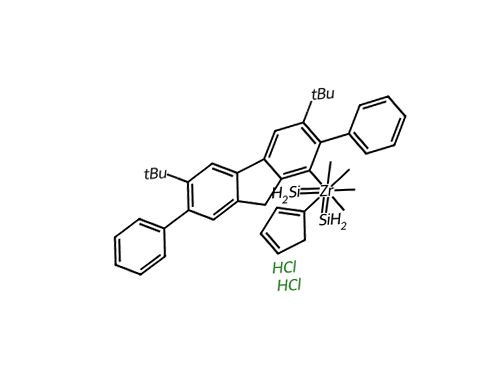 CC(C)(C)c1cc2c(cc1-c1ccccc1)Cc1c-2cc(C(C)(C)C)c(-c2ccccc2)[c]1[Zr]([CH3])([CH3])([CH3])([CH3])(=[SiH2])(=[SiH2])[C]1=CC=CC1.Cl.Cl